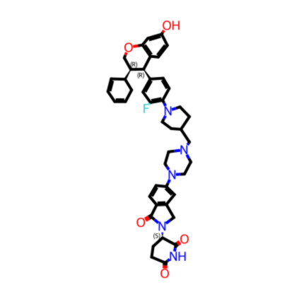 O=C1CC[C@H](N2Cc3cc(N4CCN(CC5CCN(c6ccc([C@@H]7c8ccc(O)cc8OC[C@@H]7C7C=CC=CC7)cc6F)CC5)CC4)ccc3C2=O)C(=O)N1